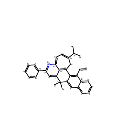 C=Cc1c2c(cc3ccccc13)C(C)(C)c1cc(-c3ccccc3)nc3c1=C2CC(C(C)C)=CC=3